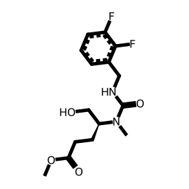 COC(=O)CC[C@@H](CO)N(C)C(=O)NCc1cccc(F)c1F